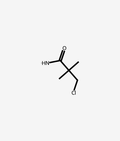 CC(C)(CCl)C([NH])=O